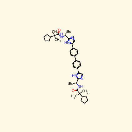 CC(C)(C(=O)N[C@H](c1ncc(-c2ccc(-c3ccc(-c4cnc([C@@H](NC(=O)C(C)(C)C5CCCC5)C(C)(C)C)[nH]4)cc3)cc2)[nH]1)C(C)(C)C)C1CCCC1